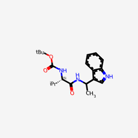 CC(NC(=O)[C@@H](NC(=O)OC(C)(C)C)C(C)C)c1c[nH]c2ccccc12